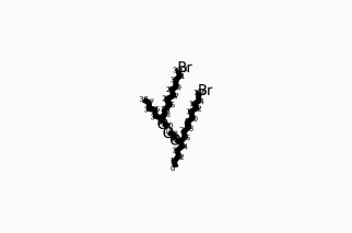 CCCCCC(CCC=CCCCCCCBr)OCOCOC(CCC=CCCCCCCBr)CCCCC